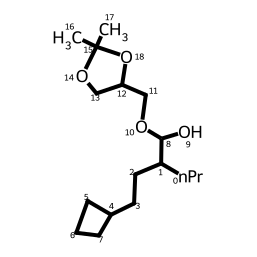 CCCC(CCC1CCC1)C(O)OCC1COC(C)(C)O1